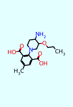 CCCOC1CN(c2c(C(=O)O)cc(C)cc2C(=O)O)CCC1N